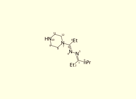 CCC/C(CC)=N/N=C(\CC)N1CCNCC1